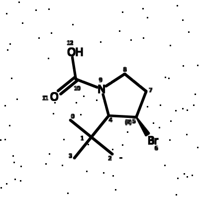 CC(C)(C)C1[C@H](Br)CCN1C(=O)O